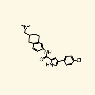 CN(C)CC1CCc2cc(NC(=O)c3cc(-c4ccc(Cl)cc4)c[nH]3)ccc2C1